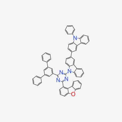 c1ccc(-c2cc(-c3ccccc3)cc(-c3nc(-c4cccc5oc6ccccc6c45)nc(-n4c5ccccc5c5cc(-c6ccc7c(c6)c6ccccc6n7-c6ccccc6)ccc54)n3)c2)cc1